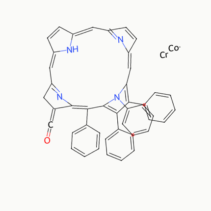 O=C=C1Cc2cc3ccc(cc4nc(cc5c(-c6ccccc6)c(-c6ccccc6)c(c(-c6ccccc6)c1n2)n5-c1ccccc1)C=C4)[nH]3.[Co].[Cr]